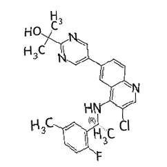 Cc1ccc(F)c([C@@H](C)Nc2c(Cl)cnc3ccc(-c4cnc(C(C)(C)O)nc4)cc23)c1